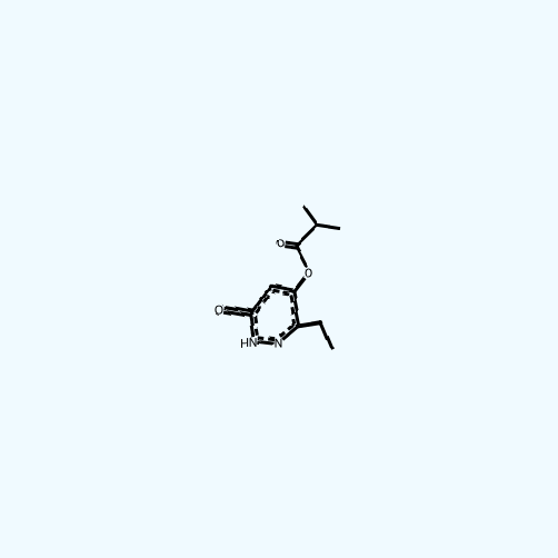 CCc1n[nH]c(=O)cc1OC(=O)C(C)C